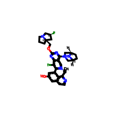 C#Cc1nccc2cc(O)cc(-c3ncc4c(N5C[C@H]6CC[C@@H](C5)N6)nc(OC[C@@]56CCCN5C[C@H](F)C6)nc4c3F)c12